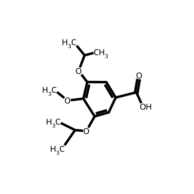 COc1c(OC(C)C)cc(C(=O)O)cc1OC(C)C